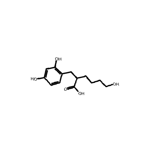 O=C(O)C(CCCCO)Cc1ccc(O)cc1O